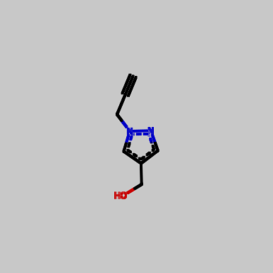 C#CCn1cc(CO)cn1